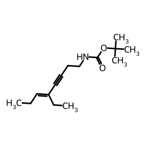 CC/C=C(/C#CCCNC(=O)OC(C)(C)C)CC